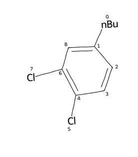 [CH]CCCc1ccc(Cl)c(Cl)c1